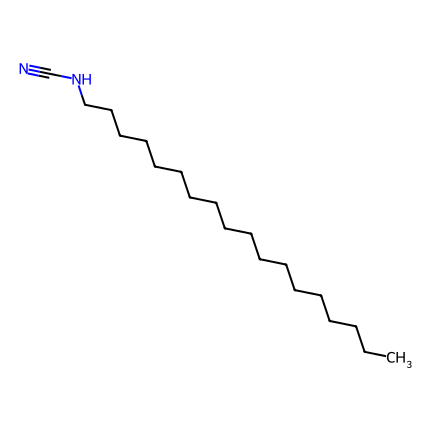 CCCCCCCCCCCCCCCCCCNC#N